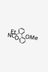 CCC1(C#N)Oc2cccc(OC)c2-c2ccccc21